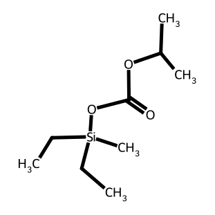 CC[Si](C)(CC)OC(=O)OC(C)C